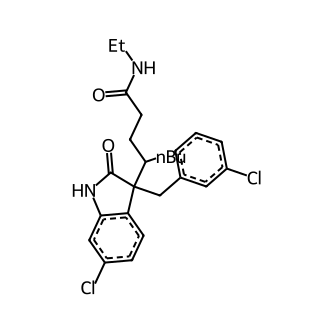 CCCCC(CCC(=O)NCC)C1(Cc2cccc(Cl)c2)C(=O)Nc2cc(Cl)ccc21